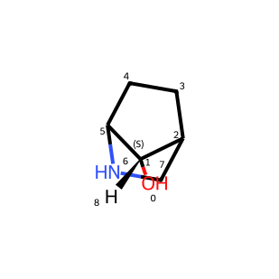 O[C@H]1C2CCC1NC2